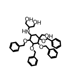 OCC(CO)NC1CC(CO)(OCc2ccccc2)C(OCc2ccccc2)C(OCc2ccccc2)C1OCc1ccccc1